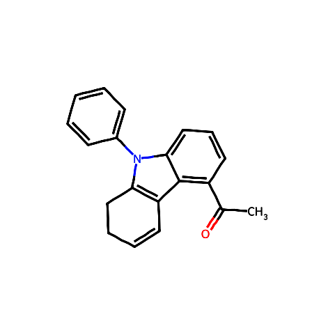 CC(=O)c1cccc2c1c1c(n2-c2ccccc2)CCC=C1